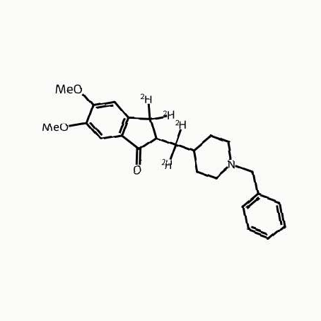 [2H]C1([2H])c2cc(OC)c(OC)cc2C(=O)C1C([2H])([2H])C1CCN(Cc2ccccc2)CC1